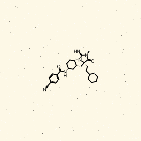 CN1C(=N)N[C@](CCC2CCCCC2)(C[C@H]2CCC[C@@H](NC(=O)c3ccc(C#N)cc3)C2)C1=O